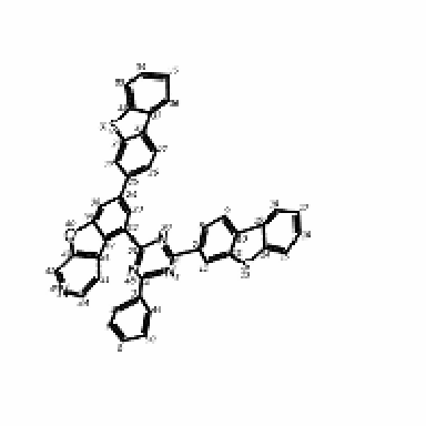 c1ccc(-c2nc(-c3ccc4c(c3)sc3ccccc34)nc(-c3cc(-c4ccc5c(c4)sc4ccccc45)cc4oc5cnccc5c34)n2)cc1